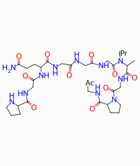 CC(=O)CNC(=O)C1CCCN1C(=O)CNC(=O)C(C)N(C(=O)CNC(=O)CNC(=O)CNC(=O)C(CCC(N)=O)NC(=O)CNC(=O)C1CCCN1)C(C)C